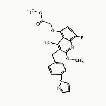 COC(=O)COc1ccc(F)c2nc(OC)c(Cc3ccc(-n4cccn4)cc3)c(C)c12